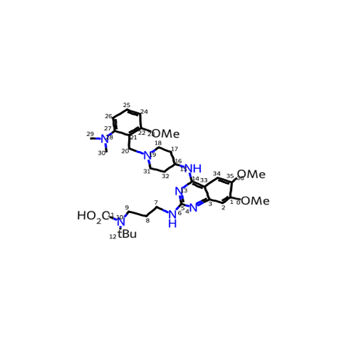 COc1cc2nc(NCCCN(C(=O)O)C(C)(C)C)nc(NC3CCN(Cc4c(OC)cccc4N(C)C)CC3)c2cc1OC